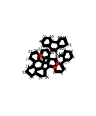 c1ccc(-c2ccccc2N(c2ccc3c(c2)C2(c4ccccc4)c4ccccc4-c4cccc5ccc-3c2c45)c2cc3ccccc3c3ccccc23)cc1